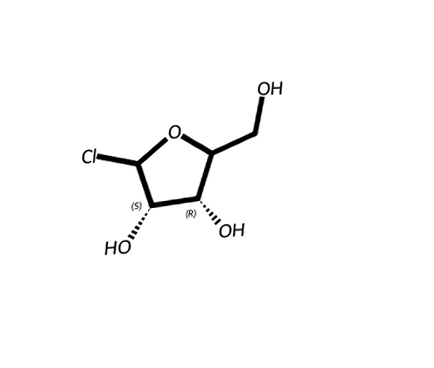 OCC1OC(Cl)[C@@H](O)[C@H]1O